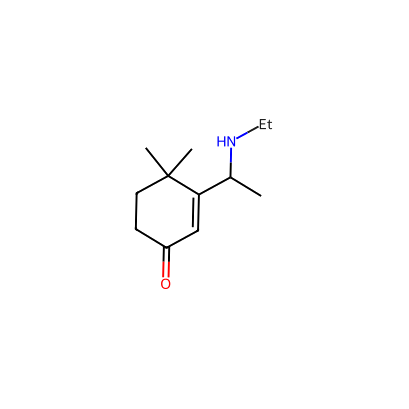 CCNC(C)C1=CC(=O)CCC1(C)C